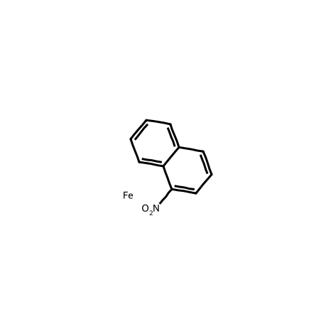 O=[N+]([O-])c1cccc2ccccc12.[Fe]